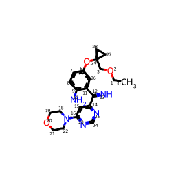 CCOCC1(Oc2ccc(N)c(C(=N)c3cc(N4CCOCC4)ncn3)c2)CC1